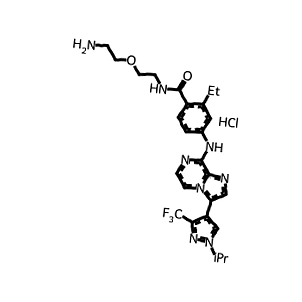 CCc1cc(Nc2nccn3c(-c4cn(C(C)C)nc4C(F)(F)F)cnc23)ccc1C(=O)NCCOCCN.Cl